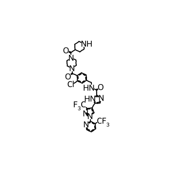 O=C(NCc1ccc(C(=O)N2CCN(C(=O)C3CCNCC3)CC2)c(Cl)c1)c1ncc(-c2cn(-c3ncccc3C(F)(F)F)nc2C(F)(F)F)[nH]1